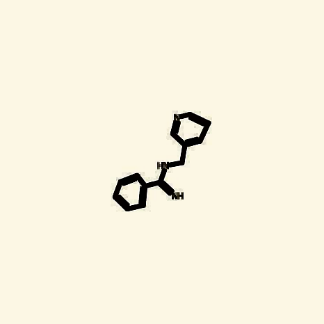 N=C(NCc1cccnc1)c1[c]cccc1